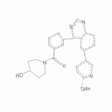 COc1ccc(-c2ccc3ncnc(-c4cccc(C(=O)N5CCC(O)CC5)c4)c3c2)cn1